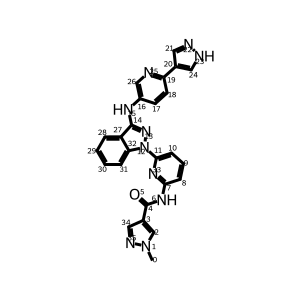 Cn1cc(C(=O)Nc2cccc(-n3nc(Nc4ccc(-c5cn[nH]c5)nc4)c4ccccc43)n2)cn1